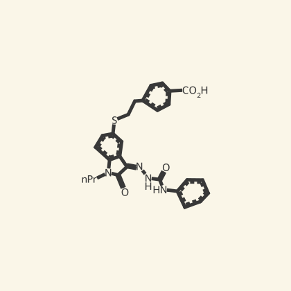 CCCN1C(=O)C(=NNC(=O)Nc2ccccc2)c2cc(SCCc3ccc(C(=O)O)cc3)ccc21